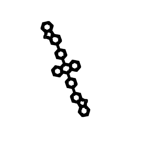 c1ccc2c(c1)oc1cc(-c3ccc(-c4c5ccccc5c(-c5ccc(-c6ccc7c(c6)oc6ccccc67)cc5)c5ccccc45)cc3)ccc12